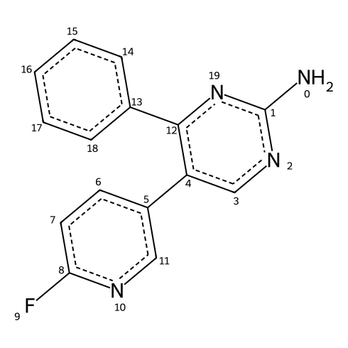 Nc1ncc(-c2ccc(F)nc2)c(-c2ccccc2)n1